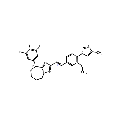 COc1cc(/C=C/c2nc3n(n2)CCCC[C@@H]3c2cc(F)c(F)c(F)c2)ccc1-n1cnc(C)c1